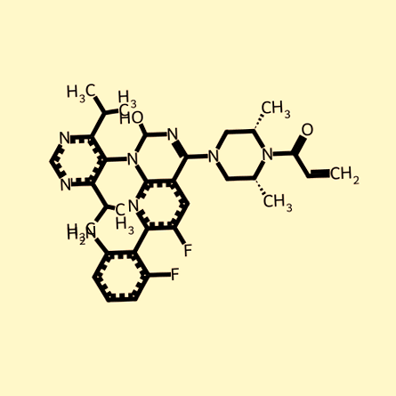 C=CC(=O)N1[C@H](C)CN(C2=NC(O)N(c3c(C(C)C)ncnc3C(C)C)c3nc(-c4c(N)cccc4F)c(F)cc32)C[C@@H]1C